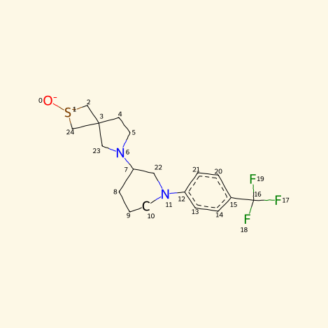 [O-][S+]1CC2(CCN(C3CCCN(c4ccc(C(F)(F)F)cc4)C3)C2)C1